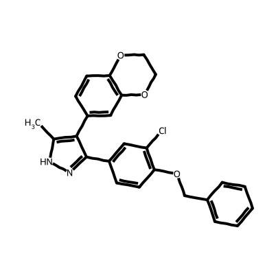 Cc1[nH]nc(-c2ccc(OCc3ccccc3)c(Cl)c2)c1-c1ccc2c(c1)OCCO2